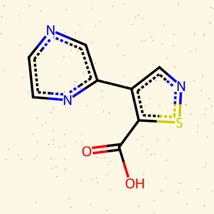 O=C(O)c1sncc1-c1cnccn1